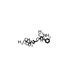 Cc1c(OCC2CN(C(=O)OC(C)(C)C)C2)nn(-c2ccccc2)c1N